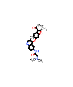 CNC(=O)c1c(C)oc2cc(Oc3c(C#N)cnc4ccc(NC(=O)CN(C)C)cc34)ccc12